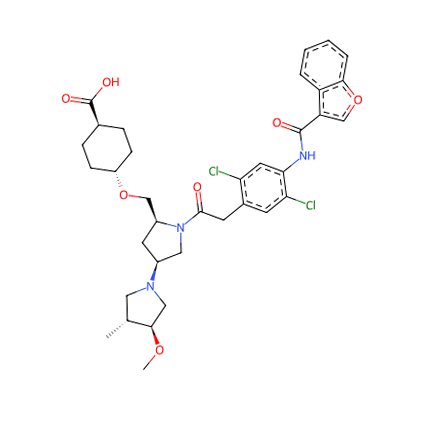 CO[C@@H]1CN([C@H]2C[C@@H](CO[C@H]3CC[C@H](C(=O)O)CC3)N(C(=O)Cc3cc(Cl)c(NC(=O)c4coc5ccccc45)cc3Cl)C2)C[C@H]1C